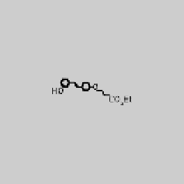 CCOC(=O)CCCCOc1ccc(/C=C/c2cccc(O)c2)cc1